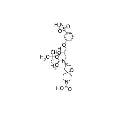 CC(C)(C)OC(=O)N(CC(O)COc1cccc(S(N)(=O)=O)c1)[C@H]1COC2(CCN(C(=O)O)CC2)C1